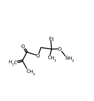 C=C(C)C(=O)OCC(C)(CC)O[SiH3]